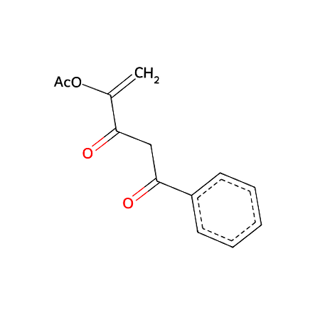 C=C(OC(C)=O)C(=O)CC(=O)c1ccccc1